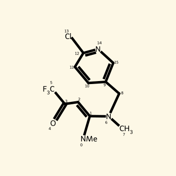 CNC(=CC(=O)C(F)(F)F)N(C)Cc1ccc(Cl)nc1